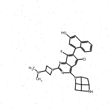 CN(C)C1CN(c2nc(N3C4CC5NC6CC3C564)c3cc(Cl)c(-c4cc(O)cc5ccccc45)c(F)c3n2)C1